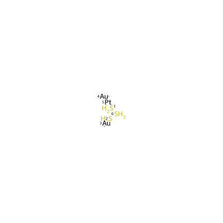 S.S.S.[Au].[Au].[Pt]